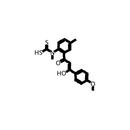 COc1ccc(C(O)=CC(=O)c2cc(C)ccc2N(C)C(=S)S)cc1